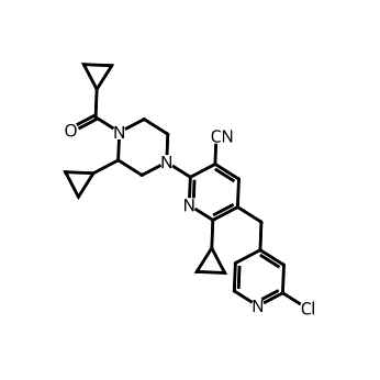 N#Cc1cc(Cc2ccnc(Cl)c2)c(C2CC2)nc1N1CCN(C(=O)C2CC2)C(C2CC2)C1